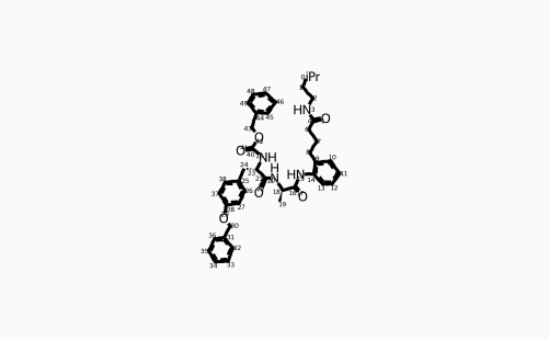 CC(C)CCNC(=O)CCCc1ccccc1NC(=O)[C@@H](C)NC(=O)[C@H](Cc1ccc(OCc2ccccc2)cc1)NC(=O)OCc1ccccc1